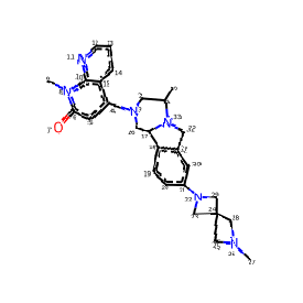 CC1CN(c2cc(=O)n(C)c3ncccc23)CC2c3ccc(N4CC5(CN(C)C5)C4)cc3CN12